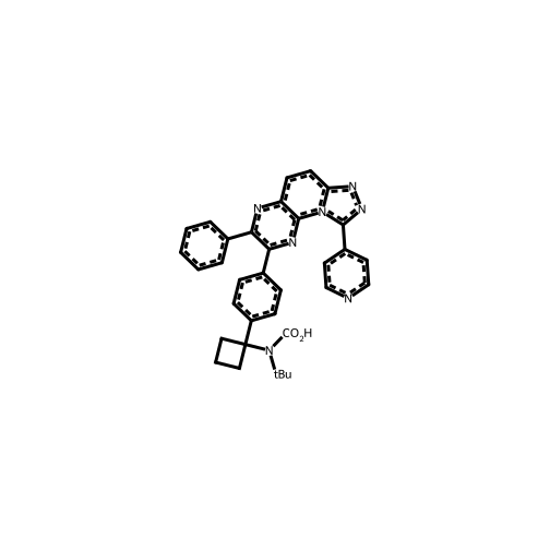 CC(C)(C)N(C(=O)O)C1(c2ccc(-c3nc4c(ccc5nnc(-c6ccncc6)n54)nc3-c3ccccc3)cc2)CCC1